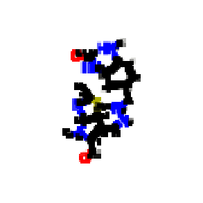 CNc1ccc(CN(C)/N=C\c2c(C=O)n(C)c3nc(C)sc23)cc1NC=O